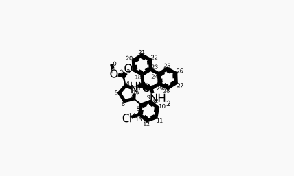 COC(=O)[C@@H]1CC[C@H](c2ccccc2Cl)N1C(=O)c1ccccc1-c1ccccc1C(=N)N